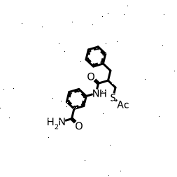 CC(=O)SCC(Cc1ccccc1)C(=O)Nc1cccc(C(N)=O)c1